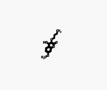 CCCCOc1c(O)c2ccc(OC)cc2oc1=O